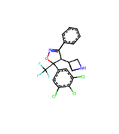 FC(F)(F)C1(c2cc(Cl)c(Cl)c(Cl)c2)ON=C(c2ccccc2)C1C1CNC1